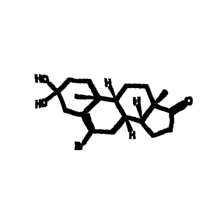 C[C@]12CCC(O)(O)CC1=C(Br)C[C@@H]1[C@@H]2CC[C@]2(C)C(=O)CC[C@@H]12